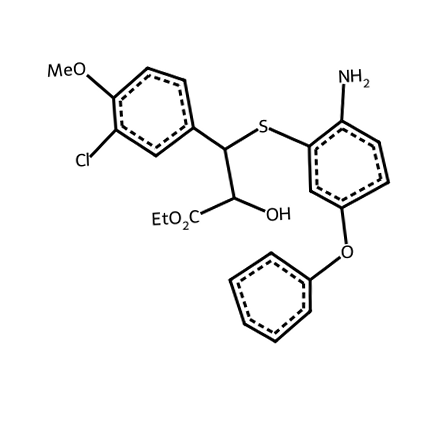 CCOC(=O)C(O)C(Sc1cc(Oc2ccccc2)ccc1N)c1ccc(OC)c(Cl)c1